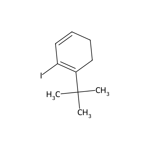 CC(C)(C)C1=C(I)C=CCC1